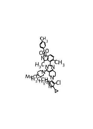 CO[C@@H]1CCN(c2nc(-c3c(C)ccc4c3c(C)nn4S(=O)(=O)c3ccc(C)cc3)nc3c2CN(c2c(Cl)c(C4CC4)nn2C)CC3)CC1(C)C